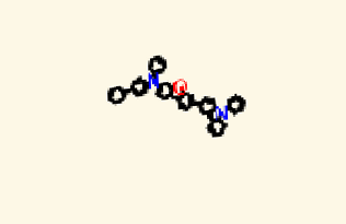 C1=Cc2c(n(-c3ccccc3)c3ccc(-c4ccc5c(c4)oc4cc(N(c6ccccc6)c6ccc(-c7ccccc7)cc6)ccc45)cc23)CC1